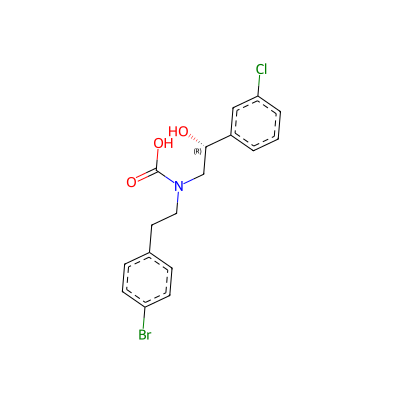 O=C(O)N(CCc1ccc(Br)cc1)C[C@H](O)c1cccc(Cl)c1